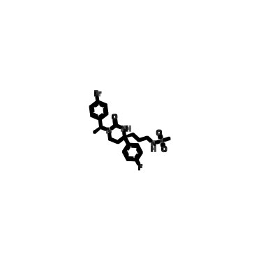 C[C@@H](c1ccc(Br)cc1)N1CC[C@@](CCCNS(C)(=O)=O)(c2ccc(F)cc2)NC1=O